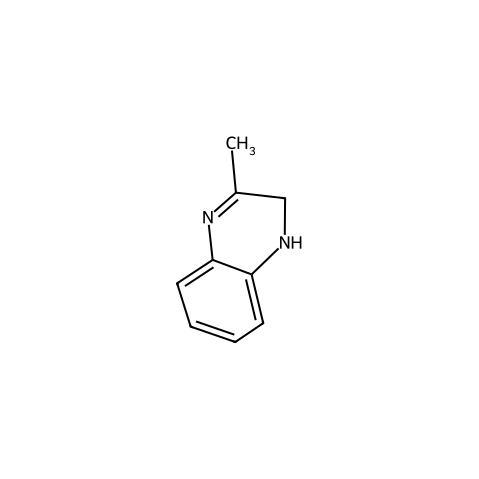 CC1=Nc2ccccc2NC1